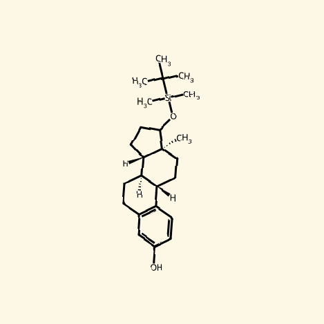 CC(C)(C)[Si](C)(C)OC1CC[C@H]2[C@@H]3CCc4cc(O)ccc4[C@H]3CC[C@]12C